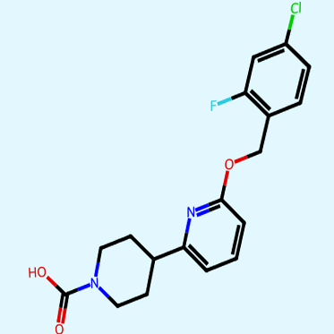 O=C(O)N1CCC(c2cccc(OCc3ccc(Cl)cc3F)n2)CC1